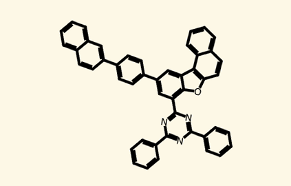 c1ccc(-c2nc(-c3ccccc3)nc(-c3cc(-c4ccc(-c5ccc6ccccc6c5)cc4)cc4c3oc3ccc5ccccc5c34)n2)cc1